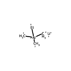 C[CH2][Al-]([CH3])([CH3])[CH3].[Li+]